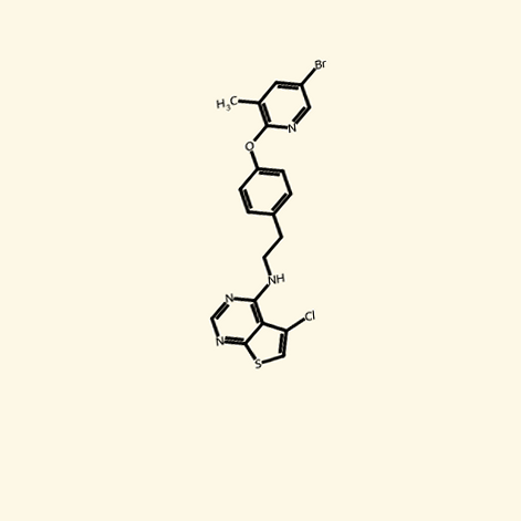 Cc1cc(Br)cnc1Oc1ccc(CCNc2ncnc3scc(Cl)c23)cc1